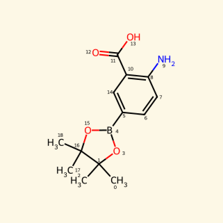 CC1(C)OB(c2ccc(N)c(C(=O)O)c2)OC1(C)C